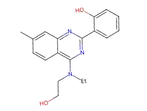 CCN(CCO)c1nc(-c2ccccc2O)nc2cc(C)ccc12